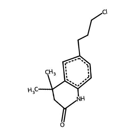 CC1(C)CC(=O)Nc2ccc(CCCCl)cc21